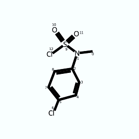 CN(c1ccc(Cl)cc1)S(=O)(=O)Cl